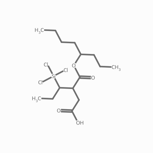 CCCCC(CCC)OC(=O)C(CC(=O)O)C(CC)[Si](Cl)(Cl)Cl